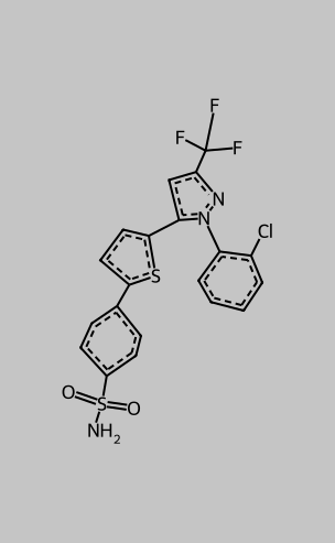 NS(=O)(=O)c1ccc(-c2ccc(-c3cc(C(F)(F)F)nn3-c3ccccc3Cl)s2)cc1